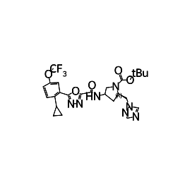 CC(C)(C)OC(=O)N1CC(NC(=O)c2nnc(-c3cc(OC(F)(F)F)ccc3C3CC3)o2)C[C@@H]1Cn1cncn1